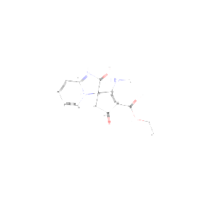 CCOC(=O)C1=C(NC)C2(CC1=O)C(=O)N=C1C=CC=CN12